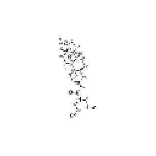 C[C@]12CC[C@H](OC(=O)N(CCCl)CCCl)CC1=CC[C@@H]1[C@@H]2CC[C@]2(C)C(=O)CC[C@@H]12